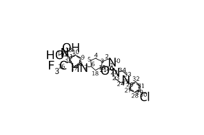 CN(CC1CCC(Nc2ccc(N(O)O)c(C(F)(F)F)c2)CC1)C(=O)N1CCN(c2ccc(Cl)cc2)CC1